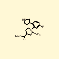 COC(=O)C1CCN(c2cc(F)ccc2C2CCNC2)P(C)C1